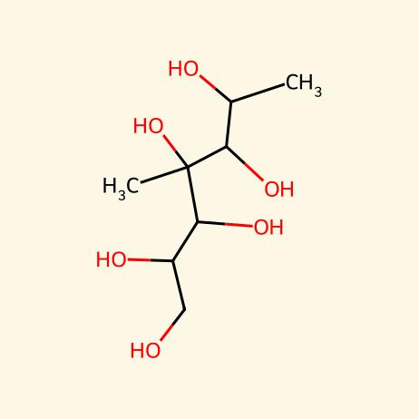 CC(O)C(O)C(C)(O)C(O)C(O)CO